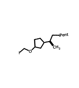 C=C(CC(C)CCC)C1CCC(OCI)C1